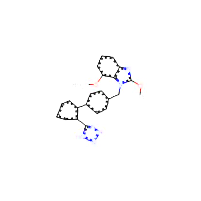 CCOc1nc2cccc(OC(=O)O)c2n1Cc1ccc(-c2ccccc2-c2nnn[nH]2)cc1